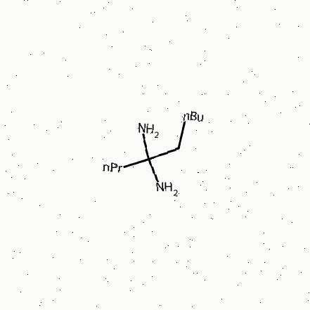 CCCCCC(N)(N)CCC